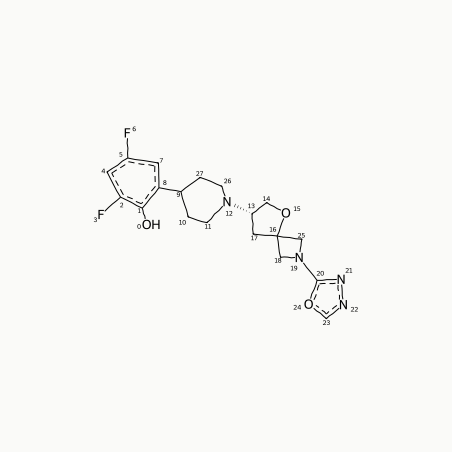 Oc1c(F)cc(F)cc1C1CCN([C@@H]2COC3(C2)CN(c2nnco2)C3)CC1